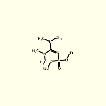 CC(C)OP(=O)(N=C(N(C)C)N(C)C)OC(C)(C)C